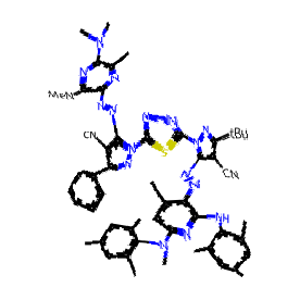 [C-]#[N+]c1c(-c2ccccc2)nn(-c2nnc(-n3nc(C(C)(C)C)c(C#N)c3N=Nc3c(C)cc(N(C)c4c(C)cc(C)cc4C)nc3Nc3c(C)cc(C)cc3C)s2)c1N=Nc1nc(C)c(N(C)C)nc1NC